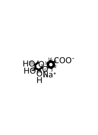 O=C([O-])c1ccc(O[C@@H]2OC[C@@H](O)[C@H](O)[C@H]2O)cc1.[Na+]